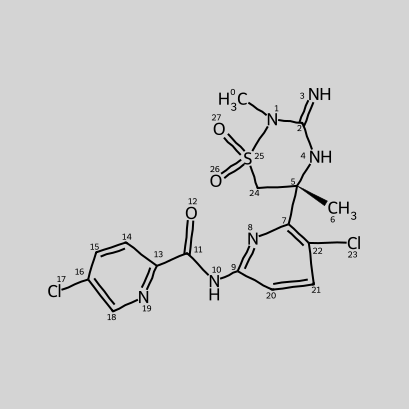 CN1C(=N)N[C@](C)(c2nc(NC(=O)c3ccc(Cl)cn3)ccc2Cl)CS1(=O)=O